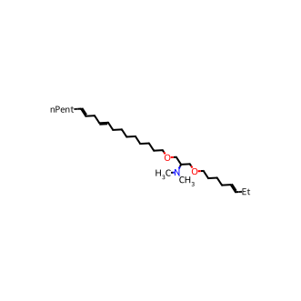 CCC=CCCCCOCC(COCCCCCCCCC=CCC=CCCCCC)N(C)C